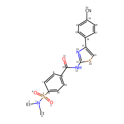 CCN(CC)S(=O)(=O)c1ccc(C(=O)Nc2nc(-c3ccc(C#N)cc3)cs2)cc1